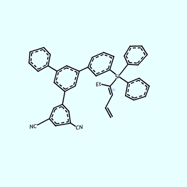 C=C/C=C(\CC)[Si](c1ccccc1)(c1ccccc1)c1cccc(-c2cc(-c3ccccc3)cc(-c3cc(C#N)cc(C#N)c3)c2)c1